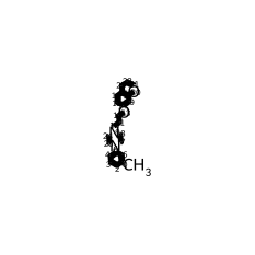 Cc1cccc(N2CCN(CCCOc3ccc4c(c3)OC=CC4)CC2)c1